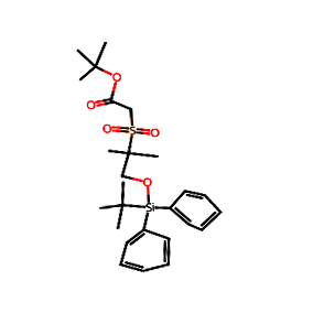 CC(C)(C)OC(=O)CS(=O)(=O)C(C)(C)CO[Si](c1ccccc1)(c1ccccc1)C(C)(C)C